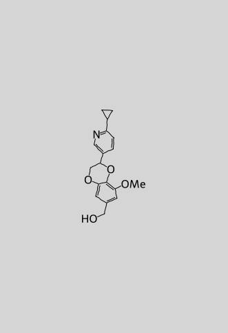 COc1cc(CO)cc2c1OC(c1ccc(C3CC3)nc1)CO2